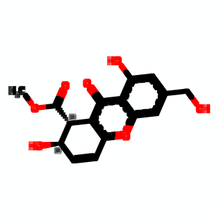 COC(=O)[C@@H]1c2c(oc3cc(CO)cc(O)c3c2=O)C=C[C@H]1O